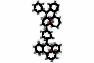 C1=CCC=CC(c2ccccc2N(c2ccccc2)c2ccc(-c3ccc(N(c4ccccc4)c4ccccc4-c4ccccc4)cc3)cc2)=C1